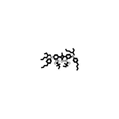 CCCCc1ccc(N(CC(CC)CCCC)c2ccc(C3=C(C)/C(=C4C=C/C(=[N+](\CC(CC)CCCC)c5ccc(CCCC)cc5)C=C\4NC(=O)C(C)(C)CC)C3=O)c(NC(=O)C(C)(C)CC)c2)cc1